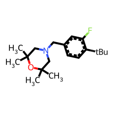 CC1(C)CN(Cc2ccc(C(C)(C)C)c(F)c2)CC(C)(C)O1